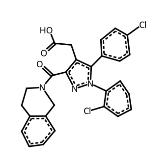 O=C(O)Cc1c(C(=O)N2CCc3ccccc3C2)nn(-c2ccccc2Cl)c1-c1ccc(Cl)cc1